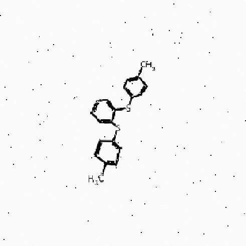 Cc1ccc(Sc2ccccc2Sc2ccc(C)cc2)cc1